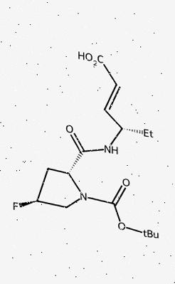 CC[C@@H](/C=C/C(=O)O)NC(=O)[C@H]1C[C@H](F)CN1C(=O)OC(C)(C)C